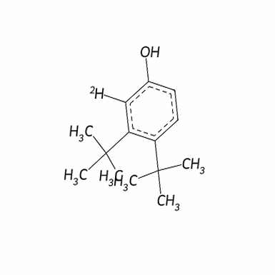 [2H]c1c(O)ccc(C(C)(C)C)c1C(C)(C)C